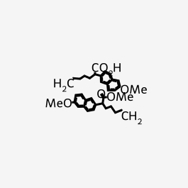 C=CCCCC(C(=O)O)c1ccc2cc(OC)ccc2c1.C=CCCCC(C(=O)OC)c1ccc2cc(OC)ccc2c1